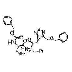 CC(C)C[C@H](NC(=O)[C@H](CC(C)C)NC(=O)OCc1ccccc1)C(=O)Cn1nnnc1COCc1ccccc1